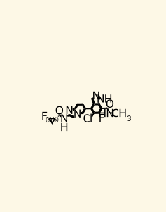 CNC(=O)c1c(F)c(Cl)c(-c2ccc3nc(NC(=O)[C@@H]4C[C@@H]4F)cn3c2)c2cn[nH]c12